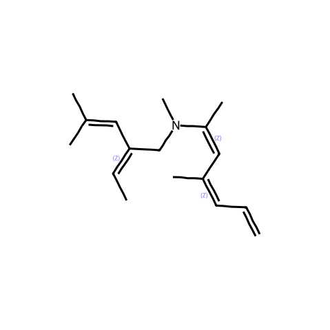 C=C/C=C(C)\C=C(\C)N(C)C/C(C=C(C)C)=C\C